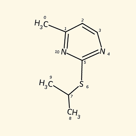 Cc1ccnc(SC(C)C)n1